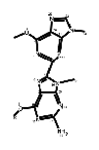 COc1nc(-c2nc3c(OC)nc(N)nc3n2C)nc2c1ncn2C